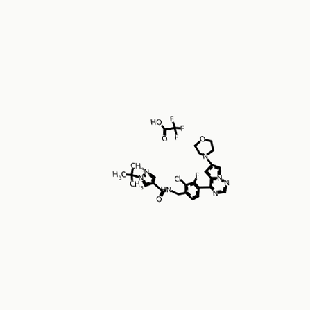 CC(C)(C)n1cc(C(=O)NCc2ccc(-c3ncnn4cc(N5CCOCC5)cc34)c(F)c2Cl)cn1.O=C(O)C(F)(F)F